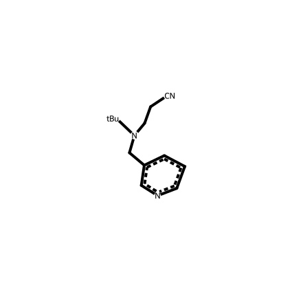 CC(C)(C)N(CCC#N)Cc1cccnc1